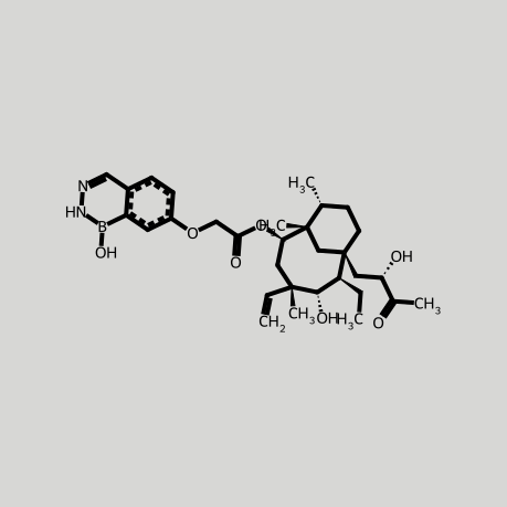 C=C[C@]1(C)C[C@@H](OC(=O)COc2ccc3c(c2)B(O)NN=C3)[C@@]2(C)C[C@](C[C@H](O)C(C)=O)(CC[C@H]2C)[C@@H](CC)[C@@H]1O